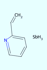 C=Cc1ccccn1.[SbH3]